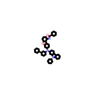 c1ccc(-c2cccc(N(c3ccc4c(c3)oc3ccc5oc(-c6ccccc6)nc5c34)c3ccc4c5ccccc5n(-c5ccccc5)c4c3)c2)cc1